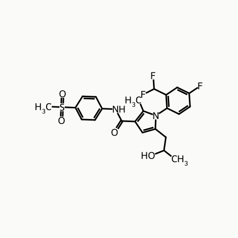 Cc1c(C(=O)Nc2ccc(S(C)(=O)=O)cc2)cc(CC(C)O)n1-c1ccc(F)cc1C(F)F